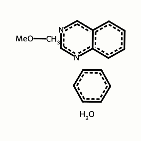 COC.O.c1ccc2ncncc2c1.c1ccccc1